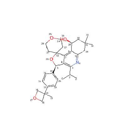 CC(C)c1nc2c(c3c1[C@@H](c1ccc(C4(C)COC4)cc1)OC31CCOCC1)[C@@H](O)CC(C)(C)C2